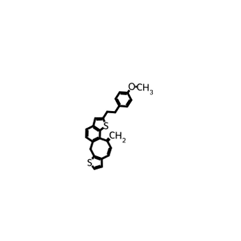 C=C1/C=C\c2ccsc2Cc2ccc3cc(CCc4ccc(OC)cc4)sc3c21